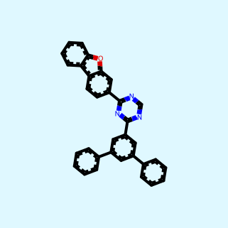 c1ccc(-c2cc(-c3ccccc3)cc(-c3ncnc(-c4ccc5c(c4)oc4ccccc45)n3)c2)cc1